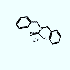 S=C(S)N(Cc1ccccc1)Cc1ccccc1.[Ce]